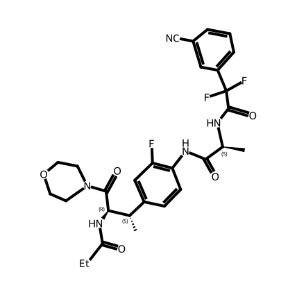 CCC(=O)N[C@@H](C(=O)N1CCOCC1)[C@@H](C)c1ccc(NC(=O)[C@H](C)NC(=O)C(F)(F)c2cccc(C#N)c2)c(F)c1